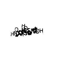 CC1(C)CN(c2ccc(S(=O)(=O)Nc3cc4c(=O)[nH]ccc4cc3F)s2)C[C@H]1O